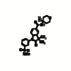 CNS(=O)(=O)c1cccc(N2C(=O)C(C)(C)c3cc(C(=O)NC4(C)CCOCC4)ccc32)c1